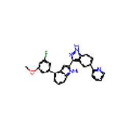 COc1cc(F)cc(-c2cccc3[nH]c(-c4n[nH]c5ccc(-c6ccccn6)cc45)cc23)c1